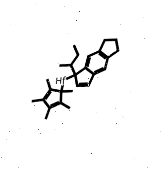 CCC(C)[C]1([Hf][C]2(C)C(C)=C(C)C(C)=C2C)C=Cc2cc3c(cc21)CCC3